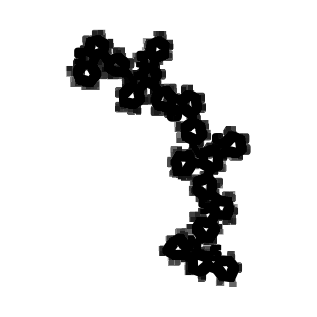 c1ccc2c(c1)sc1c2ccc2c3ccccc3n(-c3ccc(-c4cccc5c4sc4ccc(-c6cc7c8ccccc8sc7c7c6c6ccccc6n7-c6ccc(-c7cccc8c7oc7ccc(-c9cc%10c%11ccccc%11sc%10c%10c9c9ccccc9n%10-c9ccc(-c%10cccc%11sc%12ccccc%12c%10%11)cc9)cc78)cc6)cc45)cc3)c21